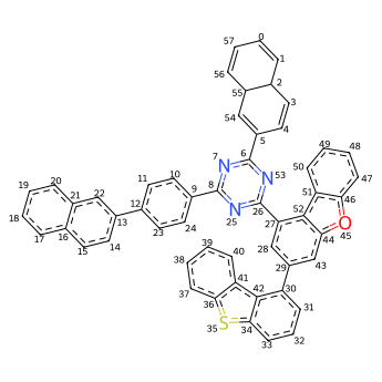 C1=CC2C=CC(c3nc(-c4ccc(-c5ccc6ccccc6c5)cc4)nc(-c4cc(-c5cccc6sc7ccccc7c56)cc5oc6ccccc6c45)n3)=CC2C=C1